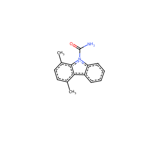 Cc1ccc(C)c2c1c1ccc[c]c1n2C(N)=O